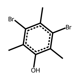 Cc1c(O)c(C)c(Br)c(C)c1Br